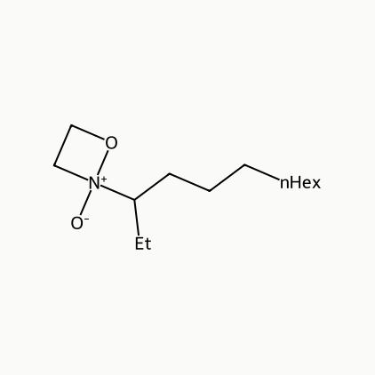 CCCCCCCCCC(CC)[N+]1([O-])CCO1